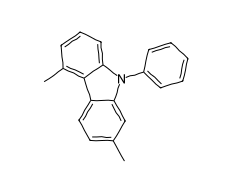 Cc1ccc2c3c(C)cccc3n(-c3ccccc3)c2c1